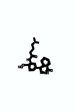 CN(C)CCCC(=O)Nc1cc(-c2n[nH]c(=O)c3ccccc23)ccc1Cl.Cl